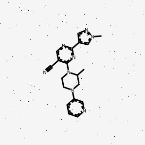 CC1CN(c2cccnc2)CCN1c1nc(-c2cnn(C)c2)ncc1C#N